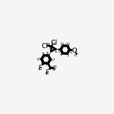 COc1ccc([C@H]2[C@H](c3ccc(F)c(C(F)F)c3)C2(Cl)Cl)cc1